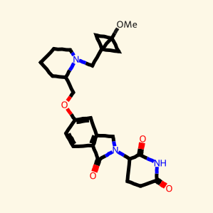 COC12CC1(CN1CCCCC1COc1ccc3c(c1)CN(C1CCC(=O)NC1=O)C3=O)C2